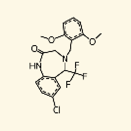 COc1cccc(OC)c1CN1CC(=O)Nc2ccc(Cl)cc2C1C(F)(F)F